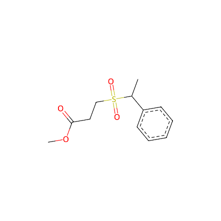 COC(=O)CCS(=O)(=O)C(C)c1ccccc1